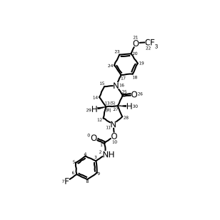 O=C(Nc1ccc(F)cc1)ON1C[C@@H]2CCN(c3ccc(OC(F)(F)F)cc3)C(=O)[C@@H]2C1